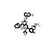 Nc1nc2c(C3=Cc4nc(OC[C@@]56CCCN5C[C@H](F)C6)nc(N5CC6CCC(C5)N6)c4[S+]([O-])N3C3COC3)ccc(F)c2s1